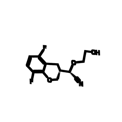 N#C[C@@H](OCCO)[C@@H]1COc2c(F)ccc(F)c2C1